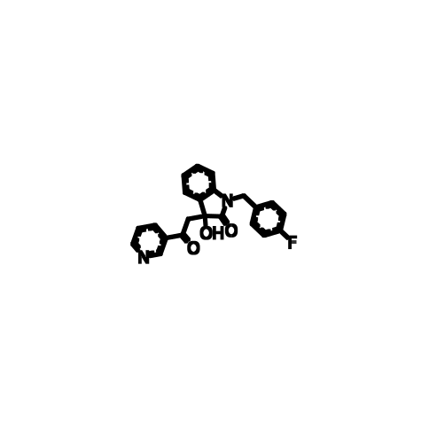 O=C(CC1(O)C(=O)N(Cc2ccc(F)cc2)c2ccccc21)c1cccnc1